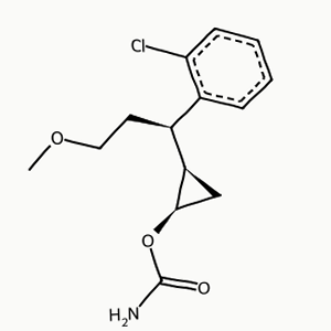 COCC[C@@H](c1ccccc1Cl)[C@H]1C[C@H]1OC(N)=O